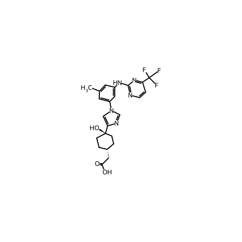 Cc1cc(Nc2nccc(C(F)(F)F)n2)cc(-n2cnc([C@]3(O)CC[C@H](CC(=O)O)CC3)c2)c1